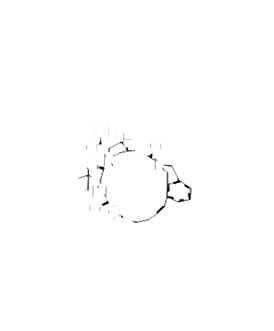 CC(C)(C)[C@@H]1NC(=O)OCCC/C=C\c2cccc3c2CN(C3)C(=O)O[C@@H]2C[C@@H](C(=O)O)N(C2)C1=O